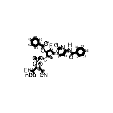 CCCCC(CC)COP(=O)(OCCC#N)OC[C@H]1S[C@@H](n2ccc(NC(=O)c3ccccc3)nc2=O)[C@@H](F)[C@@H]1OC(=O)c1ccccc1